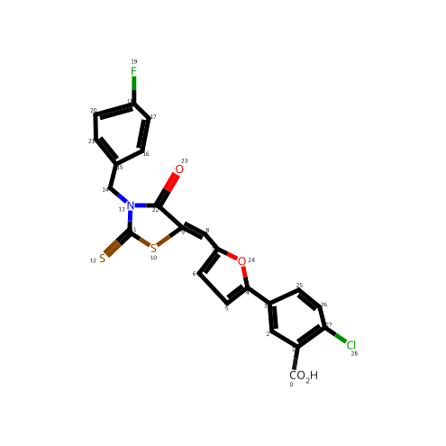 O=C(O)c1cc(-c2ccc(/C=C3\SC(=S)N(Cc4ccc(F)cc4)C3=O)o2)ccc1Cl